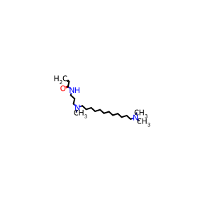 C=CC(=O)NCCCN(C)CCCCCCCCCCCCN(C)C